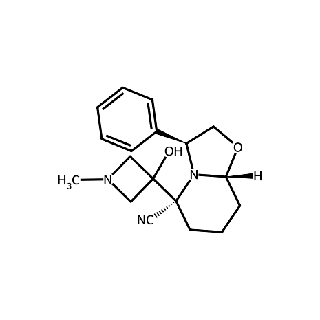 CN1CC(O)([C@]2(C#N)CCC[C@H]3OC[C@H](c4ccccc4)N32)C1